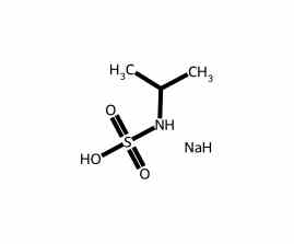 CC(C)NS(=O)(=O)O.[NaH]